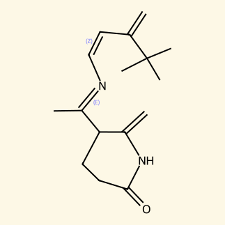 C=C1NC(=O)CCC1/C(C)=N/C=C\C(=C)C(C)(C)C